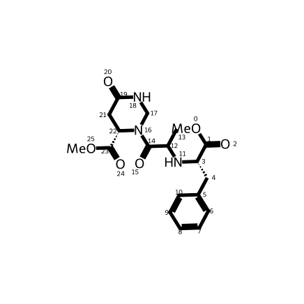 COC(=O)[C@H](Cc1ccccc1)NC(C)C(=O)N1CNC(=O)C[C@H]1C(=O)OC